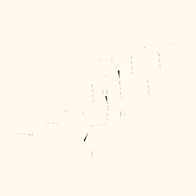 CC(=O)OCC(=O)[C@H]1[C@H](CF)C[C@H]2[C@@H]3CCC4=CC(=O)C=C[C@]4(C)[C@H]3[C@@H](O)C[C@@]21C